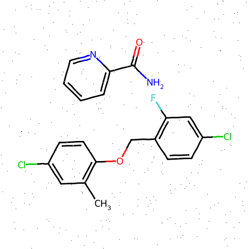 Cc1cc(Cl)ccc1OCc1ccc(Cl)cc1F.NC(=O)c1ccccn1